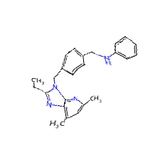 CCc1nc2c(C)cc(C)nc2n1Cc1ccc(CNc2ccccc2)cc1